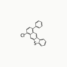 Clc1ccc(-c2ccccc2)c2cc3c(cc12)sc1ccccc13